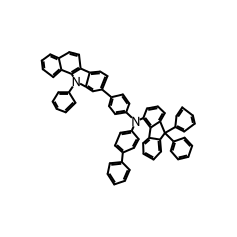 c1ccc(-c2ccc(N(c3ccc(-c4ccc5c6ccc7ccccc7c6n(-c6ccccc6)c5c4)cc3)c3cccc4c3-c3ccccc3C4(c3ccccc3)c3ccccc3)cc2)cc1